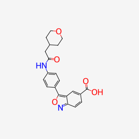 O=C(CC1CCOCC1)Nc1ccc(-c2onc3ccc(C(=O)O)cc23)cc1